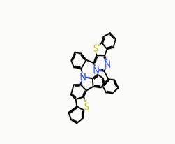 c1ccc(-c2nc(-c3ccccc3-n3c4ccccc4c4c5sc6ccccc6c5ccc43)c3sc4ccccc4c3n2)cc1